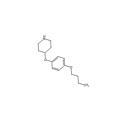 CCCCOc1ccc(OC2C[CH]NCC2)cc1